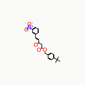 CC(C)(C)c1ccc(COC(=O)CC(=O)C=Cc2cccc([N+](=O)[O-])c2)cc1